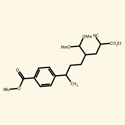 CCOC(=O)C(C#N)CC(CCC(C)c1ccc(C(=O)OC(C)(C)C)cc1)C(OC)OC